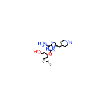 CCCC(CCO)Oc1nc(N)c2ncc(CC3CCNCC3)n2n1